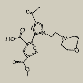 COC(=O)c1ccc(-c2nc(C(C)=O)cn2CCN2CCOCC2)c(C(=O)O)c1